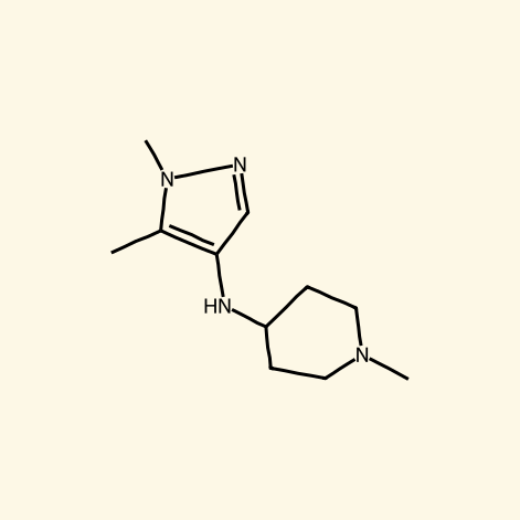 Cc1c(NC2CCN(C)CC2)cnn1C